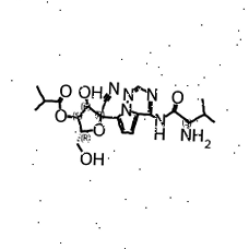 CC(C)C(=O)O[C@H]1[C@@H](O)[C@](C#N)(c2ccc3c(NC(=O)[C@@H](N)C(C)C)ncnn23)O[C@@H]1CO